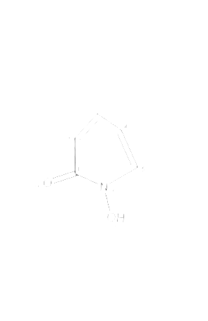 O=c1[c]cccn1O